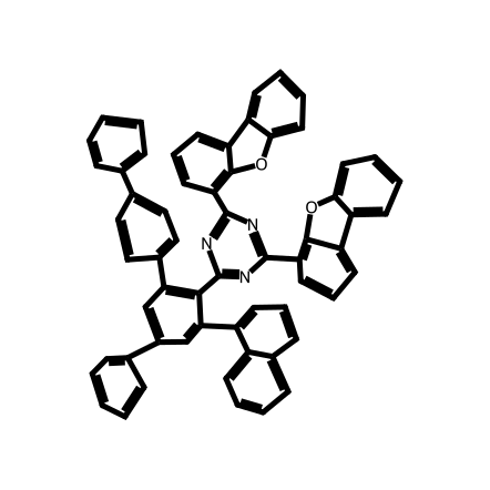 c1ccc(-c2ccc(-c3cc(-c4ccccc4)cc(-c4cccc5ccccc45)c3-c3nc(-c4cccc5c4oc4ccccc45)nc(-c4cccc5c4oc4ccccc45)n3)cc2)cc1